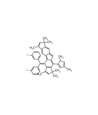 CC1=CC(C)C(c2c3c(c(=C(c4cccc(F)c4)c4cccc(F)c4)c4c2[C]=c2cc5c(cc2=4)C(C)=CC5(C)C)C(C)=CC3(C)C)=C1